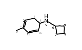 CC1=CCC(NC2CCC2)C=C1